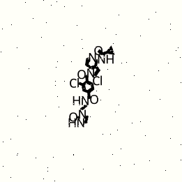 O=C(NCCN1CCNC1=O)c1cc(Cl)c(C(=O)n2ccc3c(NC(=O)C4CC4)nccc32)c(Cl)c1